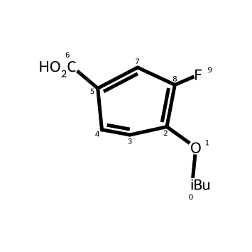 CCC(C)Oc1ccc(C(=O)O)cc1F